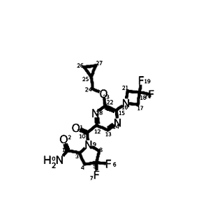 NC(=O)C1CC(F)(F)CN1C(=O)c1cnc(N2CC(F)(F)C2)c(OCC2CC2)n1